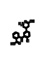 NCC(CC(=O)O)c1ccc(Cl)c(Nc2ccccc2C(=O)O)c1